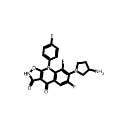 NC1CCN(c2c(F)cc3c(=O)c4c(=O)[nH]oc4n(-c4ccc(F)cc4)c3c2F)C1